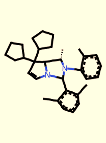 Cc1ccccc1N1C(c2c(C)cccc2C)N2C=CC(C3CCCC3)(C3CCCC3)C2[C@@H]1C